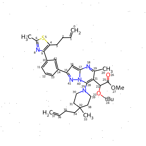 C=CCCc1sc(C)nc1-c1cccc(-c2cc3nc(C)c(C(OC(C)(C)C)C(=O)OC)c(N4CCC(C)(CCC=C)CC4)n3n2)c1